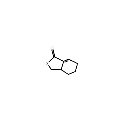 O=C1SCC2CCCC=C12